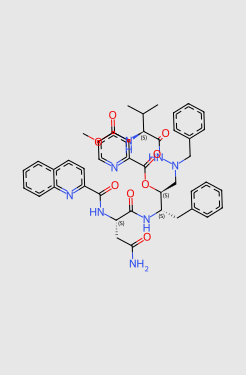 COC(=O)N[C@H](C(=O)NN(Cc1ccccc1)C[C@H](OC(=O)c1ccccn1)[C@H](Cc1ccccc1)NC(=O)[C@H](CC(N)=O)NC(=O)c1ccc2ccccc2n1)C(C)C